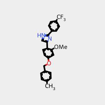 COc1cc(OCc2ccc(C)cc2)ccc1-c1c[nH]c(-c2ccc(C(F)(F)F)cc2)n1